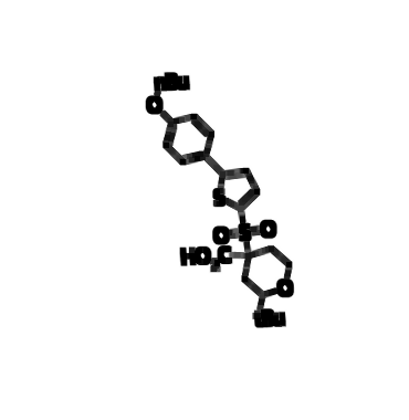 CCCCOc1ccc(-c2ccc(S(=O)(=O)C3(C(=O)O)CCOC(C(C)(C)C)C3)s2)cc1